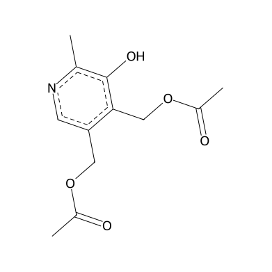 CC(=O)OCc1cnc(C)c(O)c1COC(C)=O